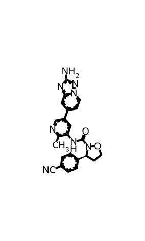 Cc1ncc(-c2ccn3nc(N)nc3c2)cc1NC(=O)N1OCC[C@H]1c1ccc(C#N)cc1